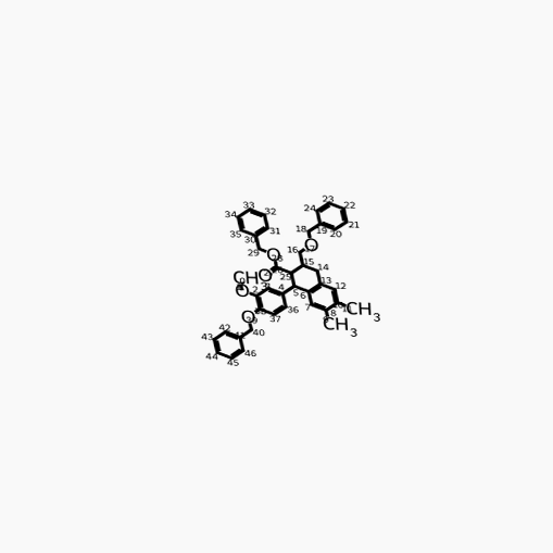 COc1cc(C2c3cc(C)c(C)cc3CC(COCc3ccccc3)C2C(=O)OCc2ccccc2)ccc1OCc1ccccc1